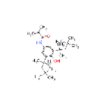 C=C(C)C(=O)Nc1cc(C(C)(C)CC(C)(C)C)c(O)c(C(C)(C)CC(C)(C)C)c1